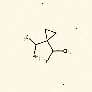 C=C(C(C)C)C1(C(C)P)CC1